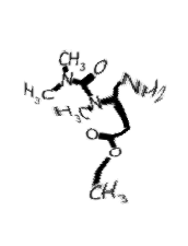 CCOC(=O)C=C(N)N(C)C(=O)N(C)C